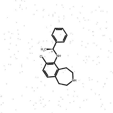 C[C@H](Nc1c(Cl)ccc2c1CCNCC2)c1ccccc1